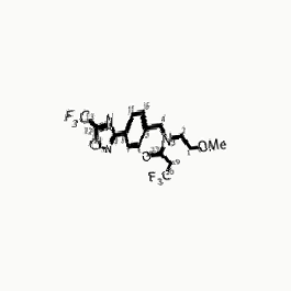 COCCN(Cc1ccc(-c2noc(C(F)(F)F)n2)cc1)C(=O)CC(F)(F)F